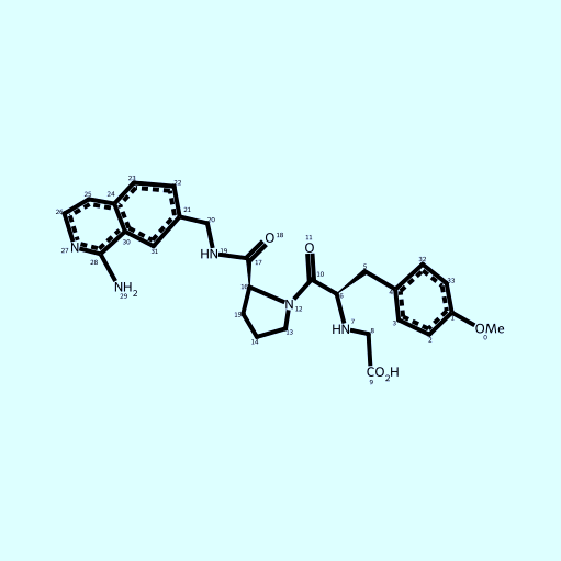 COc1ccc(C[C@@H](NCC(=O)O)C(=O)N2CCC[C@H]2C(=O)NCc2ccc3ccnc(N)c3c2)cc1